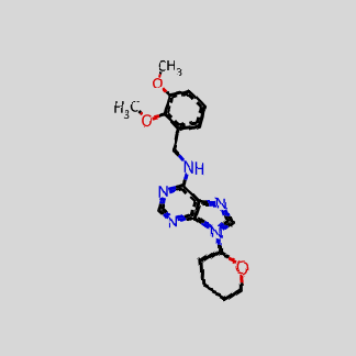 COc1cccc(CNc2ncnc3c2ncn3C2CCCCO2)c1OC